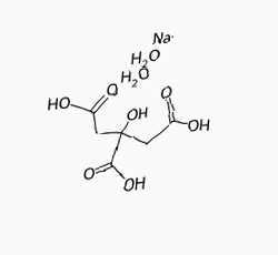 O.O.O=C(O)CC(O)(CC(=O)O)C(=O)O.[Na]